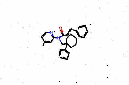 Cc1ccnc(N(CC2(c3ccccc3)CCCCC2)C(=O)C=Cc2ccccc2)c1